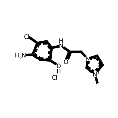 C[n+]1ccn(CC(=O)Nc2cc(Cl)c(N)cc2O)c1.[Cl-]